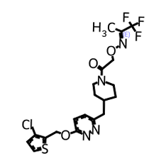 C/C(=N\OCC(=O)N1CCC(Cc2ccc(OCc3sccc3Cl)nn2)CC1)C(F)(F)F